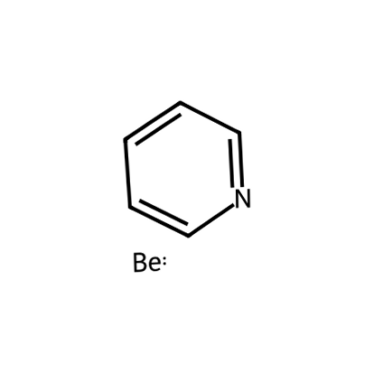 [Be].c1ccncc1